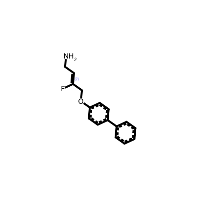 NC/C=C(\F)COc1ccc(-c2ccccc2)cc1